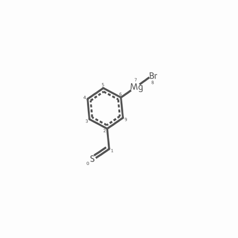 S=Cc1ccc[c]([Mg][Br])c1